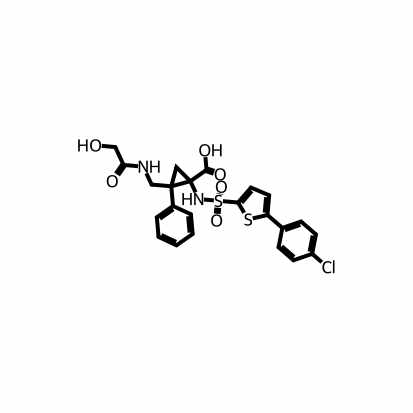 O=C(CO)NCC1(c2ccccc2)CC1(NS(=O)(=O)c1ccc(-c2ccc(Cl)cc2)s1)C(=O)O